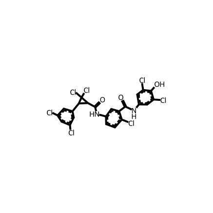 O=C(Nc1cc(Cl)c(O)c(Cl)c1)c1cc(NC(=O)C2C(c3cc(Cl)cc(Cl)c3)C2(Cl)Cl)ccc1Cl